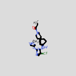 CCC(=O)N1CCC2(CCC(Nc3nc(Nc4cnn(C)c4)ncc3Cl)CC2)CC1